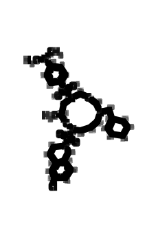 C[C@H]1CN(S(=O)(=O)c2ccc(N(C)C)cc2)CCCN(CC2=CCCCC2)CCCN(S(=O)(=O)N2CCc3cc(Cl)ccc3C2)C1